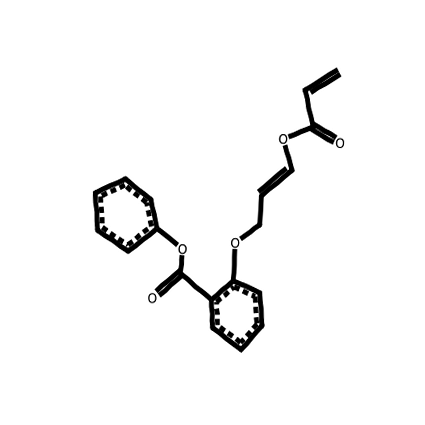 C=CC(=O)OC=CCOc1ccccc1C(=O)Oc1ccccc1